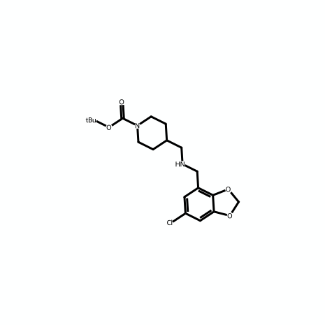 CC(C)(C)OC(=O)N1CCC(CNCc2cc(Cl)cc3c2OCO3)CC1